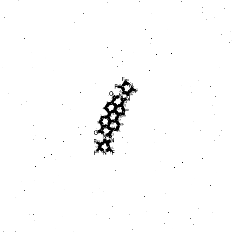 O=c1c2ccc3c4ccc5c(=O)n6c(nc7c(F)nc(F)c(F)c76)c6ccc(c7ccc(c2c37)c2nc3c(F)nc(F)c(F)c3n12)c4c56